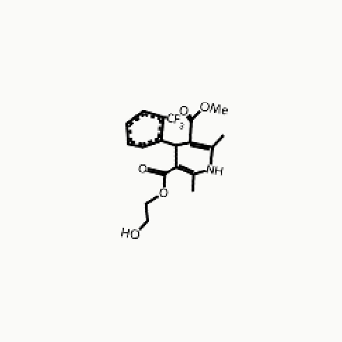 COC(=O)C1=C(C)NC(C)=C(C(=O)OCCO)C1c1ccccc1C(F)(F)F